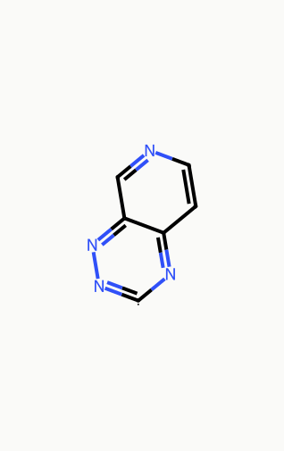 [c]1nnc2cnccc2n1